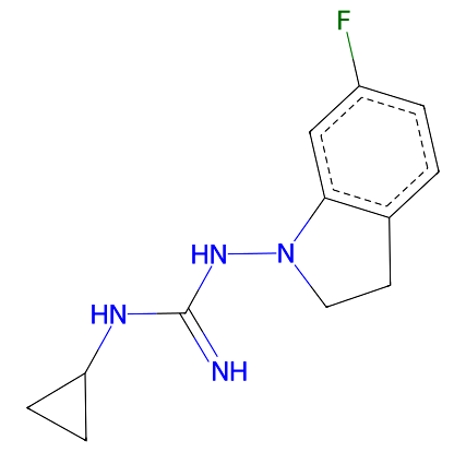 N=C(NC1CC1)NN1CCc2ccc(F)cc21